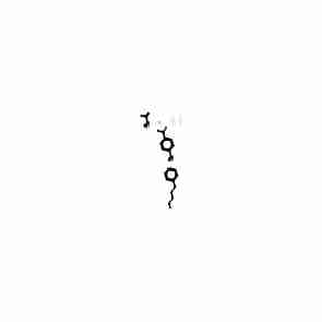 C=C(C)C(=O)OCC(CO)c1ccc(C(=O)Oc2ccc(CCCCC)cc2)cc1